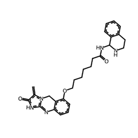 C=c1c(=O)[nH]c2n1Cc1c(cccc1OCCCCCCC(=O)NC1NCCc3ccccc31)N=2